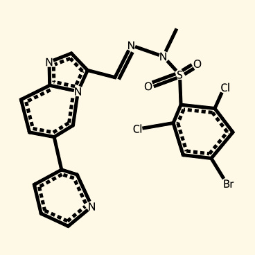 CN(N=Cc1cnc2ccc(-c3cccnc3)cn12)S(=O)(=O)c1c(Cl)cc(Br)cc1Cl